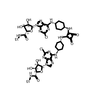 CCNC(=O)[C@H]1O[C@@H](n2cnc3c(N[C@H]4CC[C@H](Nc5c(N[C@H]6CC[C@H](Nc7nc(Cl)nc8c7ncn8[C@@H]7O[C@H](C(=O)NCC)[C@@H](O)[C@H]7O)CC6)c(=O)c5=O)CC4)nc(Cl)nc32)[C@H](O)[C@@H]1O